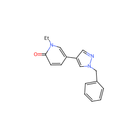 CCn1cc(-c2cnn(Cc3ccccc3)c2)ccc1=O